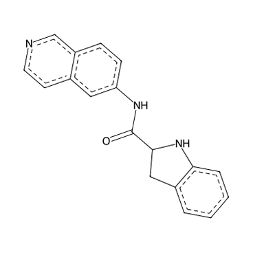 O=C(Nc1ccc2cnccc2c1)C1Cc2ccccc2N1